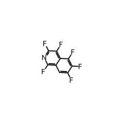 Fc1cc2c(F)nc(F)c(F)c2c(F)c1F